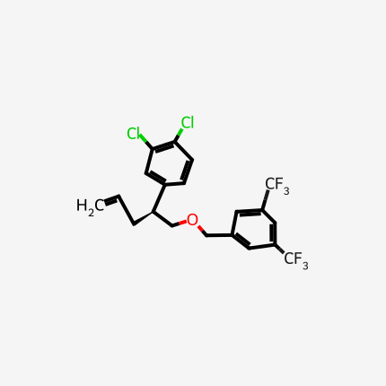 C=CC[C@H](COCc1cc(C(F)(F)F)cc(C(F)(F)F)c1)c1ccc(Cl)c(Cl)c1